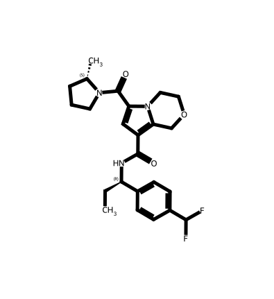 CC[C@@H](NC(=O)c1cc(C(=O)N2CCC[C@@H]2C)n2c1COCC2)c1ccc(C(F)F)cc1